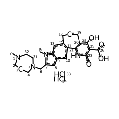 CN1CCCN(Cc2cc3cc4c(cc3n2C)CCCc2c-4[nH]c(=O)c(C(=O)O)c2O)CC1.Cl.Cl